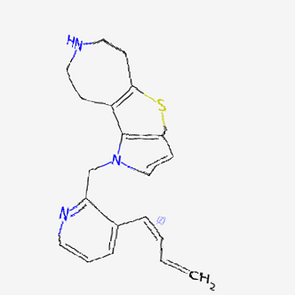 C=C/C=C\c1cccnc1Cn1ccc2sc3c(c21)CCNCC3